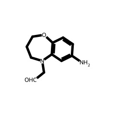 Nc1ccc2c(c1)N(CC=O)CCCO2